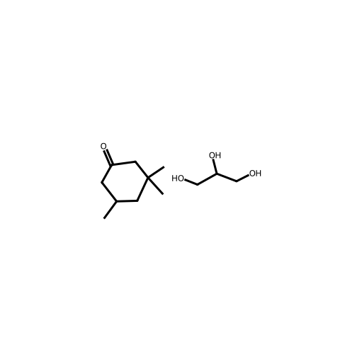 CC1CC(=O)CC(C)(C)C1.OCC(O)CO